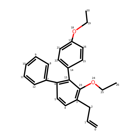 C=CCc1c[c]c(-c2ccccc2)c(-c2ccc(OCC)cc2)c1OCC